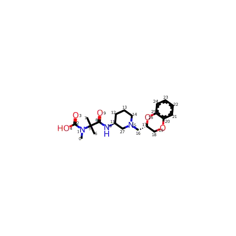 CN(C(=O)O)C(C)(C)C(=O)N[C@H]1CCCN(C[C@H]2COc3ccccc3O2)C1